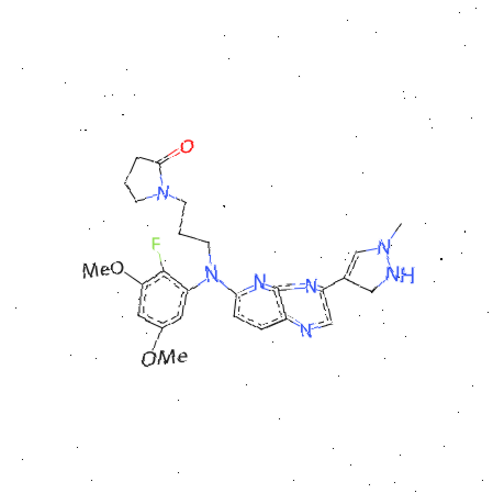 COc1cc(OC)c(F)c(N(CCCN2CCCC2=O)c2ccc3ncc(C4=CN(C)NC4)nc3n2)c1